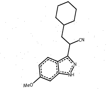 COc1ccc2c(C(C#N)CC3CCCCC3)n[nH]c2c1